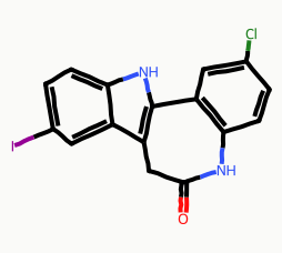 O=C1Cc2c([nH]c3ccc(I)cc23)-c2cc(Cl)ccc2N1